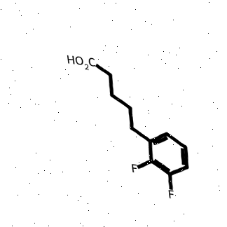 O=C(O)CCCCc1cccc(F)c1F